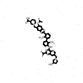 Cc1c(Nc2nc(C(F)F)nc3cc(CN4CCC(O)C4)cnc23)cccc1-c1cccc(-c2nc3cc(CN4CCCC(C(=O)O)C4)c(OC(F)F)cc3o2)c1C